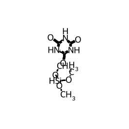 CO[SiH](OC)OC.O=c1[nH]c(=O)[nH]c(=O)[nH]1